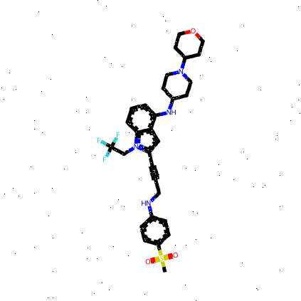 CS(=O)(=O)c1ccc(NCC#Cc2cc3c(NC4CCN(C5CCOCC5)CC4)cccc3n2CC(F)(F)F)cc1